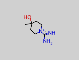 CC1(O)CC[N+](C(=N)N)CC1